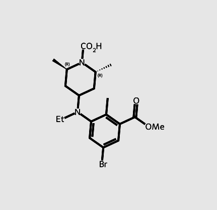 CCN(c1cc(Br)cc(C(=O)OC)c1C)C1C[C@@H](C)N(C(=O)O)[C@H](C)C1